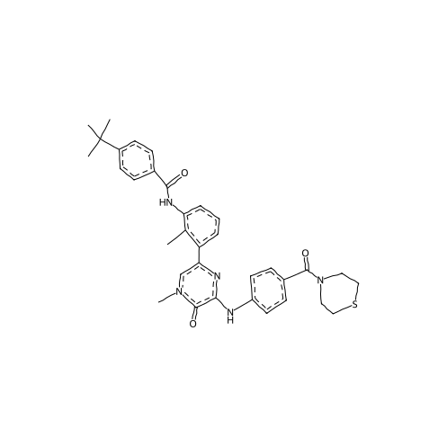 Cc1c(NC(=O)c2ccc(C(C)(C)C)cc2)cccc1-c1cn(C)c(=O)c(Nc2ccc(C(=O)N3CCSCC3)cc2)n1